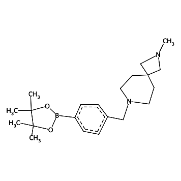 CN1CC2(CCN(Cc3ccc(B4OC(C)(C)C(C)(C)O4)cc3)CC2)C1